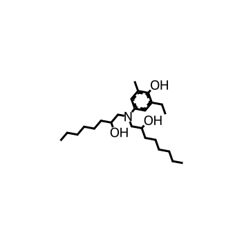 CCCCCCC(O)CN(CC(O)CCCCCC)c1cc(C)c(O)c(CC)c1